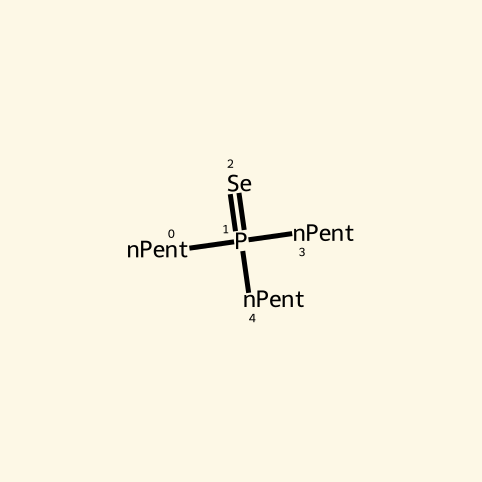 CCCCCP(=[Se])(CCCCC)CCCCC